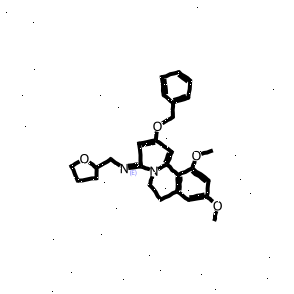 COc1cc2c(c(OC)c1)-c1cc(OCc3ccccc3)c/c(=N\CC3CCCO3)n1CC2